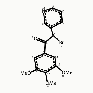 COc1cc(C(=O)C(Br)c2cccnc2)cc(OC)c1OC